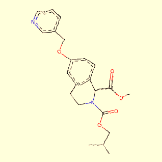 COC(=O)C1c2ccc(OCc3cccnc3)cc2CCN1C(=O)OCC(C)C